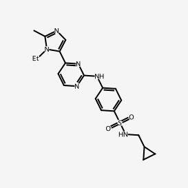 CCn1c(-c2ccnc(Nc3ccc(S(=O)(=O)NCC4CC4)cc3)n2)cnc1C